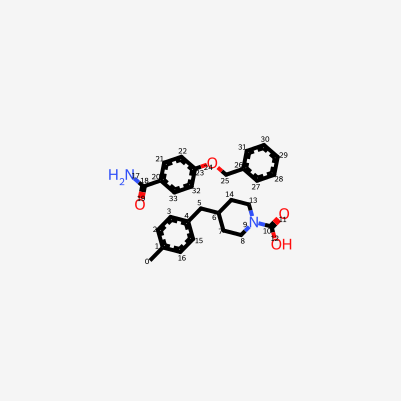 Cc1ccc(CC2CCN(C(=O)O)CC2)cc1.NC(=O)c1ccc(OCc2ccccc2)cc1